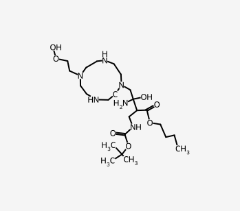 CCCCOC(=O)C(CNC(=O)OC(C)(C)C)C(N)(O)CN1CCNCCN(CCOO)CCNCC1